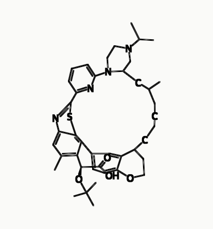 Cc1cc2nc3sc2c(c1[C@H](OC(C)(C)C)C(=O)O)-c1ccc2c(c1)C(CCCCC(C)CC1CN(C(C)C)CCN1c1cccc-3n1)CCO2